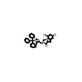 Cc1c(CN2Cn3c(cc4cc(Cl)cc(Cl)c43)C2=O)ncn1C(c1ccccc1)(c1ccccc1)c1ccccc1